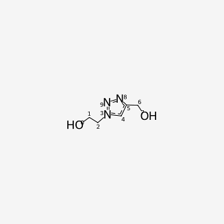 OCCn1cc(CO)nn1